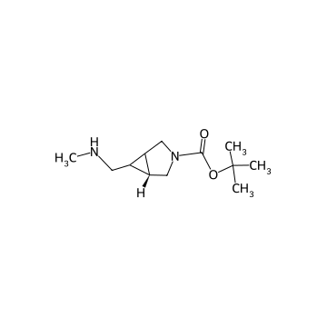 CNCC1C2CN(C(=O)OC(C)(C)C)C[C@H]12